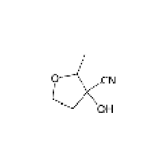 CC1OCCC1(O)C#N